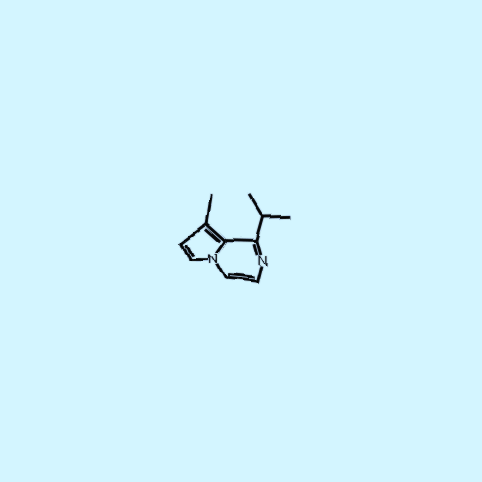 Cc1ccn2ccnc(C(C)C)c12